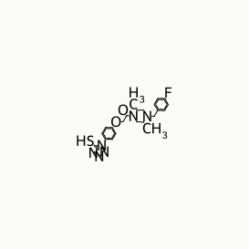 C[C@@H]1CN(Cc2ccc(F)cc2)[C@@H](C)CN1C(=O)COc1ccc(-n2nnnc2S)cc1